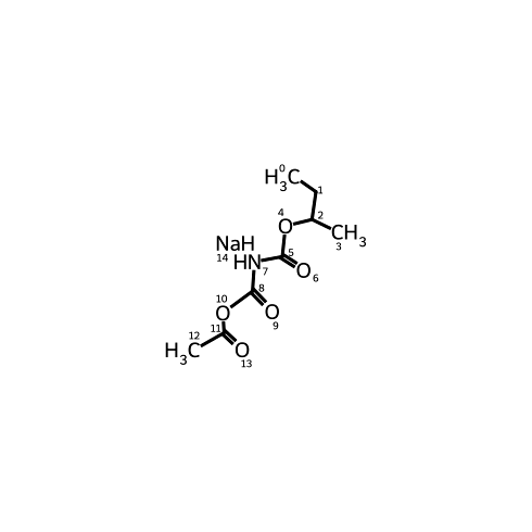 CCC(C)OC(=O)NC(=O)OC(C)=O.[NaH]